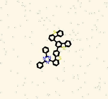 c1ccc(-c2nc(-c3ccccc3)nc(-c3cccc4sc5cc(-c6cc(-c7cccc8sc9ccccc9c78)cc7c6sc6ccccc67)ccc5c34)n2)cc1